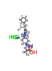 CC/C(=C\c1ccccc1)[C@@H]1C[C@H]1N[C@H]1CC[C@H](NCC2(C(=O)O)CC2)CC1.Cl.Cl